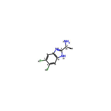 C[C@H](N)c1nc2cc(F)c(F)cc2[nH]1